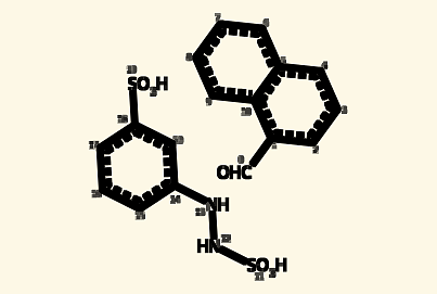 O=Cc1cccc2ccccc12.O=S(=O)(O)NNc1cccc(S(=O)(=O)O)c1